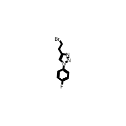 Fc1ccc(-n2cc(CCBr)nn2)cc1